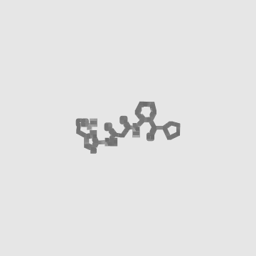 O=C(O)Cc1csc(NC(=O)CC(=O)Nc2ccccc2C(=O)C2CCCC2)n1